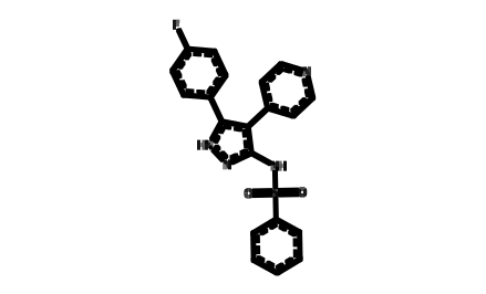 O=S(=O)(Nc1n[nH]c(-c2ccc(F)cc2)c1-c1ccncc1)c1ccccc1